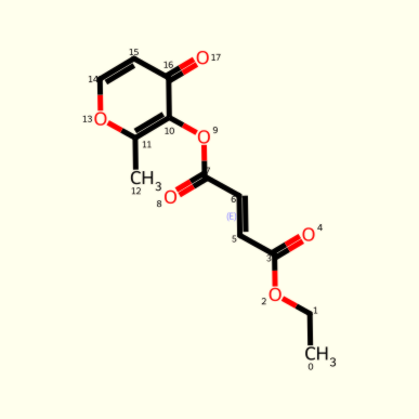 CCOC(=O)/C=C/C(=O)Oc1c(C)occc1=O